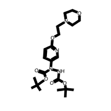 CC(C)(C)OC(=O)NN(C(=O)OC(C)(C)C)c1ccc(OCCN2CCOCC2)nc1